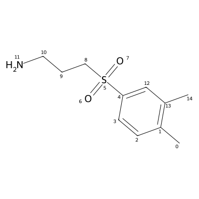 Cc1ccc(S(=O)(=O)CCCN)cc1C